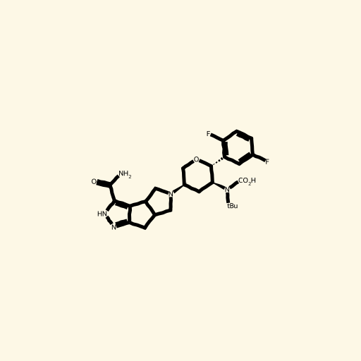 CC(C)(C)N(C(=O)O)[C@H]1C[C@@H](N2CC3Cc4n[nH]c(C(N)=O)c4C3C2)CO[C@@H]1c1cc(F)ccc1F